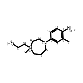 Cc1cc(N2CCC[N+](C)(CCO)CC2)ccc1N